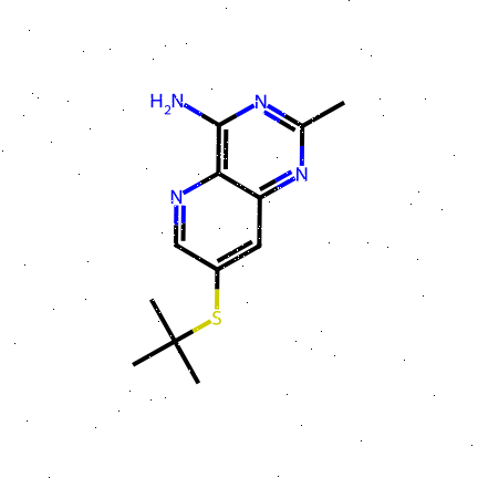 Cc1nc(N)c2ncc(SC(C)(C)C)cc2n1